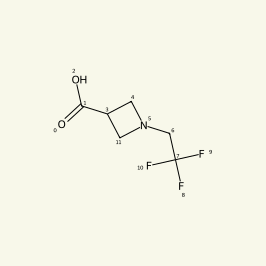 O=C(O)C1CN(CC(F)(F)F)C1